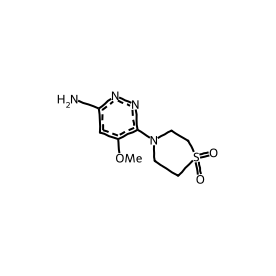 COc1cc(N)nnc1N1CCS(=O)(=O)CC1